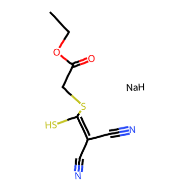 CCOC(=O)CSC(S)=C(C#N)C#N.[NaH]